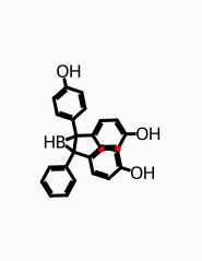 Oc1ccc(C2(c3ccccc3)BC2(c2ccc(O)cc2)c2ccc(O)cc2)cc1